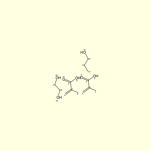 C=C(C)C(=O)O.C=C(C)C(=O)O.CCCO.OCCO